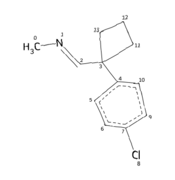 C/N=C/C1(c2ccc(Cl)cc2)CCC1